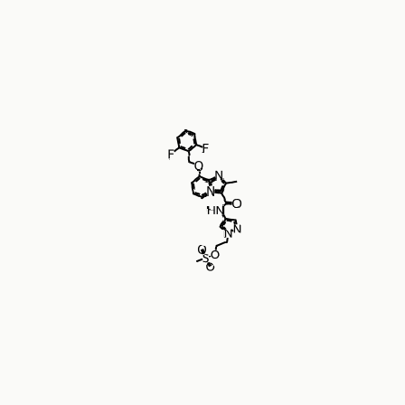 Cc1nc2c(OCc3c(F)cccc3F)cccn2c1C(=O)Nc1cnn(CCOS(C)(=O)=O)c1